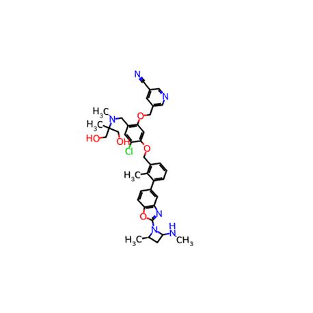 CNC1C[C@@H](C)N1c1nc2cc(-c3cccc(COc4cc(OCc5cncc(C#N)c5)c(CN(C)C(C)(CO)CO)cc4Cl)c3C)ccc2o1